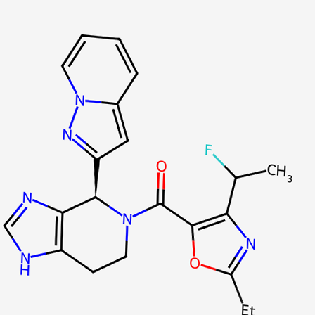 CCc1nc(C(C)F)c(C(=O)N2CCc3[nH]cnc3[C@H]2c2cc3ccccn3n2)o1